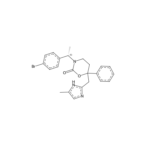 Cc1cnc(CC2(c3ccccc3)CCN([C@@H](C)c3ccc(Br)cc3)C(=O)O2)[nH]1